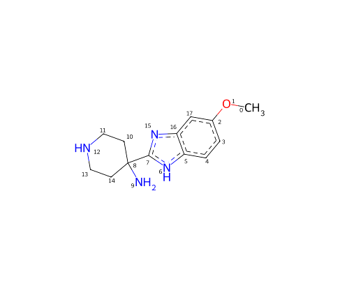 COc1ccc2[nH]c(C3(N)CCNCC3)nc2c1